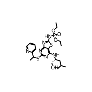 CCOP(=O)(Nc1nc2nc(SC(C)c3ccccn3)nc(N[C@@H](CO)CC(C)C)c2s1)OCC